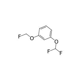 FCOc1cccc(OC(F)F)c1